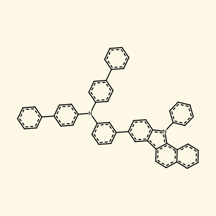 c1ccc(-c2ccc(N(c3ccc(-c4ccccc4)cc3)c3cccc(-c4ccc5c(c4)c4ccc6ccccc6c4n5-c4ccccc4)c3)cc2)cc1